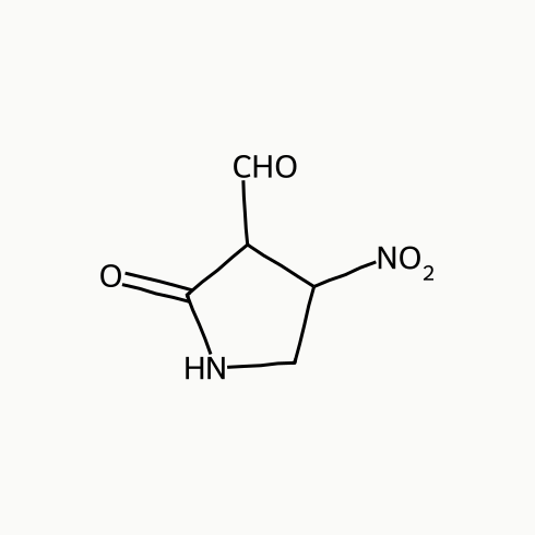 O=CC1C(=O)NCC1[N+](=O)[O-]